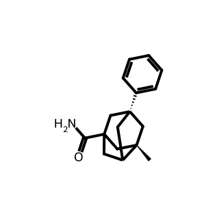 C[C@]12CC3(C(N)=O)CC1C[C@@](c1ccccc1)(C3)C2